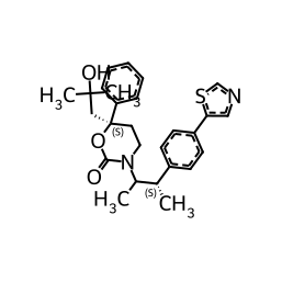 CC([C@@H](C)c1ccc(-c2cncs2)cc1)N1CC[C@](CC(C)(C)O)(c2ccccc2)OC1=O